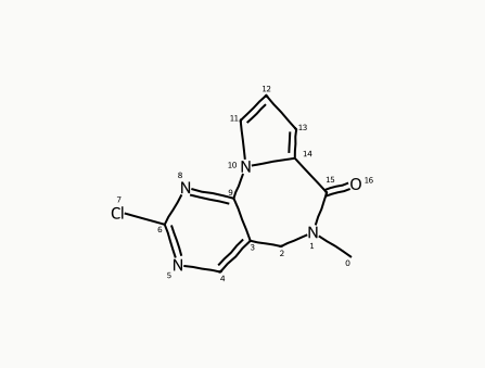 CN1Cc2cnc(Cl)nc2-n2cccc2C1=O